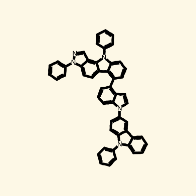 c1ccc(-n2ncc3c2ccc2c4c(-c5cccc6c5ccn6-c5ccc6c(c5)c5ccccc5n6-c5ccccc5)cccc4n(-c4ccccc4)c23)cc1